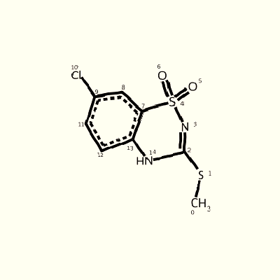 CSC1=NS(=O)(=O)c2cc(Cl)ccc2N1